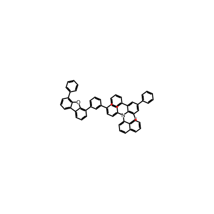 Fc1cc(-c2ccccc2)cc(-c2ccccc2)c1N(c1ccc(-c2cccc(-c3cccc4c3oc3c(-c5ccccc5)cccc34)c2)cc1)c1cccc2ccccc12